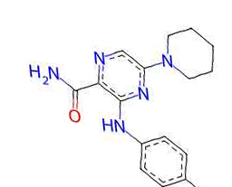 Cc1ccc(Nc2nc(N3CCCCC3)cnc2C(N)=O)cc1